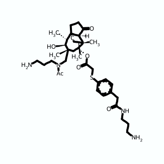 CC(=O)N(CCCN)C[C@@]1(C)C[C@@H](OC(=O)CSc2ccc(CC(=O)NCCCN)cc2)[C@]2(C)[C@H](C)CC[C@]3(CCC(=O)[C@H]32)[C@@H](C)[C@@H]1O